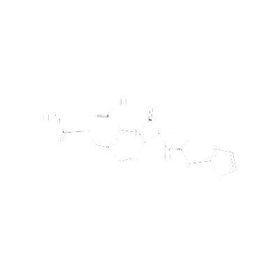 C[C@@]1(NC(=O)Cc2cccs2)C(=O)N2C(C(=O)O)=C(COC(N)=O)CS[C@@H]21